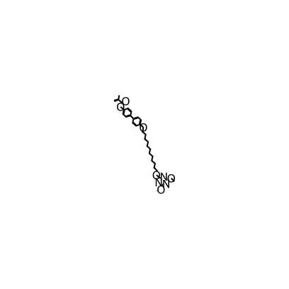 C=C(C)C(=O)Oc1ccc(-c2ccc(OCCCCCCCCCCCCOc3nc(OC)nc(OC)n3)cc2)cc1